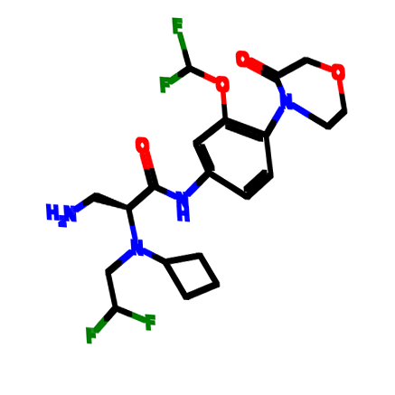 NC[C@@H](C(=O)Nc1ccc(N2CCOCC2=O)c(OC(F)F)c1)N(CC(F)F)C1CCC1